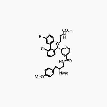 CCc1cccc(-c2c(Cl)cccc2C(OCCNC(=O)O)[C@H]2CN(C(=O)NC[C@@H](Cc3ccc(OC)cc3)NC)CCO2)c1